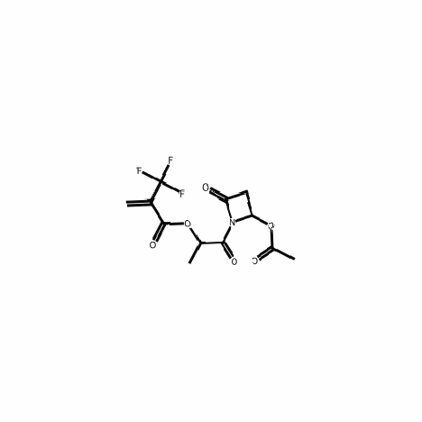 C=C(C(=O)OC(C)C(=O)N1C(=O)CC1OC(C)=O)C(F)(F)F